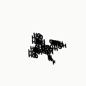 O=C(O)CC[C@H](NC(=O)N[C@@H](CCCCNC(=O)CCC(CCC(=O)NCCCC[C@H](NC(=O)N[C@@H](CCC(=O)O)C(=O)O)C(=O)O)(CCC(=O)NCCCC[C@H](NC(=O)N[C@@H](CCC(=O)O)C(=O)O)C(=O)O)NC(=O)c1ccc(-n2cc(CCCF)nn2)cc1)C(=O)O)C(=O)O